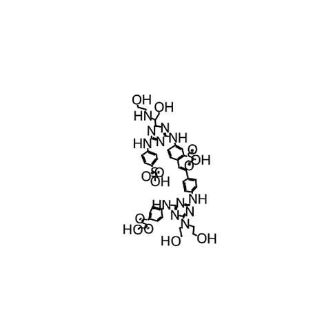 O=S(=O)(O)c1ccc(Nc2nc(Nc3ccc(C=Cc4ccc(Nc5nc(Nc6ccc(S(=O)(=O)O)cc6)nc(N(CCO)CCO)n5)cc4)c(S(=O)(=O)O)c3)nc(C(CO)NCCO)n2)cc1